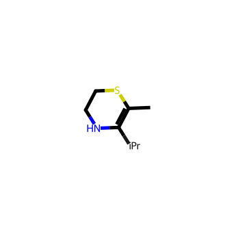 CC1=C(C(C)C)NCCS1